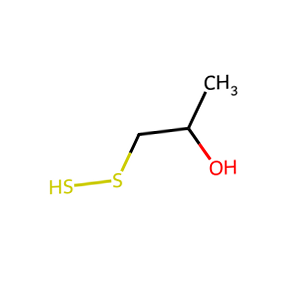 CC(O)CSS